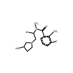 Cc1c(F)cccc1C(=O)N(C)C(CN1CCC(O)C1)C(C)C